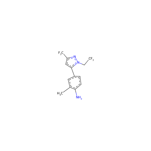 Cc1cc(-c2cc(C(F)(F)F)nn2CC(F)(F)F)ccc1N